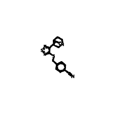 N#Cc1ccc(CSc2nsnc2C2CN3CCC2CC3)cc1